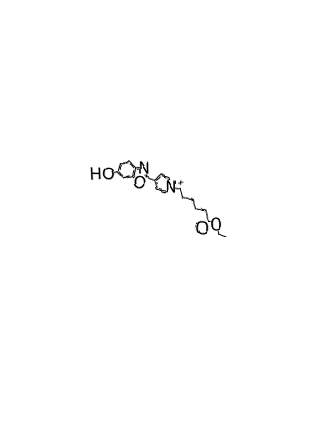 CCOC(=O)CCCCC[n+]1ccc(-c2nc3ccc(O)cc3o2)cc1